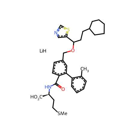 CSCC[C@H](NC(=O)c1ccc(COC(CCC2CCCCC2)c2cncs2)cc1-c1ccccc1C)C(=O)O.[LiH]